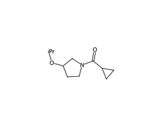 CC(C)OC1CCN(C(=O)C2CC2)C1